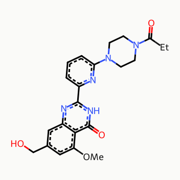 CCC(=O)N1CCN(c2cccc(-c3nc4cc(CO)cc(OC)c4c(=O)[nH]3)n2)CC1